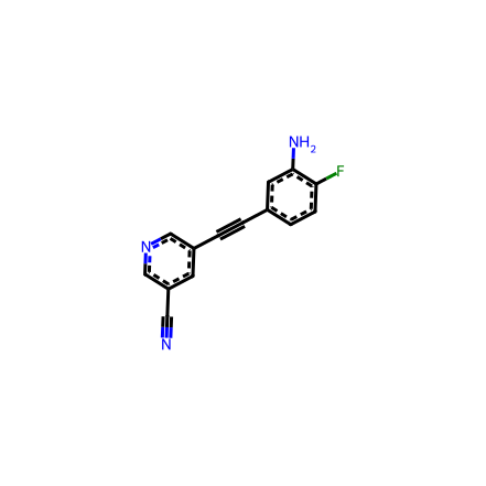 N#Cc1cncc(C#Cc2ccc(F)c(N)c2)c1